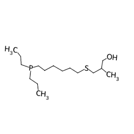 CCCP(CCC)CCCCCCSCC(C)CO